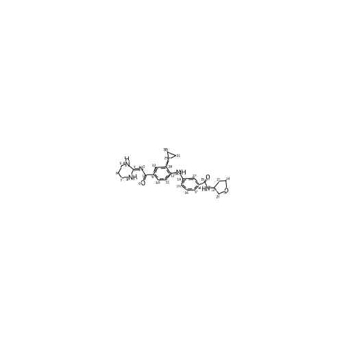 O=C(N=C1NCCCN1)c1ccc(Nc2cccc(C(=O)NC3CCOC3)c2)c(C2CC2)c1